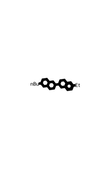 CCCCC1CCC2CC(C3CCc4cc(CC)ccc4C3)CCC2C1